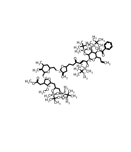 C=CCC1O[C@@H](C(/C=C/C(=O)CCC2CC(=C)[C@H](CCC3CC(C)C(=C)C(C[C@@H]4OC(CC(CO[Si](C)(C)C(C)(C)C)O[Si](C)(C)C(C)(C)C)[C@H](OC)C4CC(=O)OC)O3)O2)O[Si](C)(C)C(C)(C)C)C(O[Si](C)(C)C(C)(C)C)C(O[Si](C)(C)C(C)(C)C)C1OC(=O)c1ccccc1